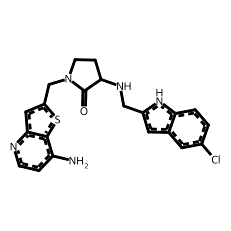 Nc1ccnc2cc(CN3CCC(NCc4cc5cc(Cl)ccc5[nH]4)C3=O)sc12